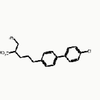 CC(C)CC(CCCc1ccc(-c2ccc(Cl)cc2)cc1)C(=O)O